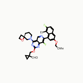 CCc1c(F)ccc2cc(OCOC)cc(-c3ncc4c(N5CCC[C@@]6(CCO6)C5)nc(OCC5(C=O)CC5)nc4c3F)c12